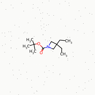 CCC1(CC)CN(C(=O)OC(C)(C)C)C1